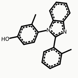 Cc1ccccc1-c1nc2ccccc2n1-c1ccc(O)cc1C